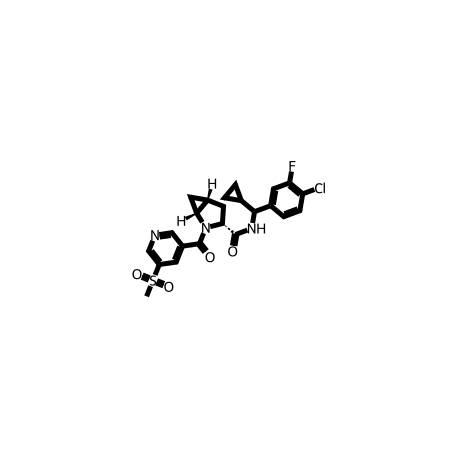 CS(=O)(=O)c1cncc(C(=O)N2[C@@H](C(=O)NC(c3ccc(Cl)c(F)c3)C3CC3)C[C@H]3C[C@H]32)c1